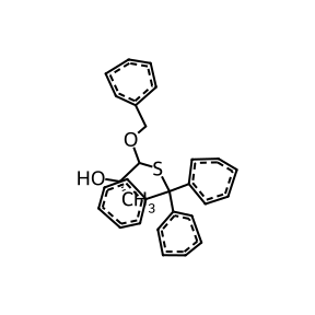 C[C@H](O)C(OCc1ccccc1)SC(c1ccccc1)(c1ccccc1)c1ccccc1